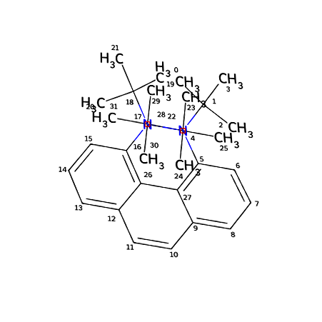 CC(C)(C)N(c1cccc2ccc3cccc(N(C(C)(C)C)C(C)(C)C)c3c12)C(C)(C)C